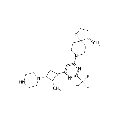 C=C1CCOC12CCN(c1cc(N3C[C@@H](N4CCNCC4)[C@H]3C)nc(C(F)(F)F)n1)CC2